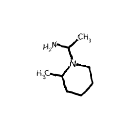 CC(N)N1CCCCC1C